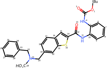 CC(C)(C)OC(=O)Nc1ccccc1NC(=O)c1cc2ccc(CN(Cc3ccccc3)C(=O)O)cc2s1